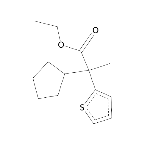 CCOC(=O)C(C)(c1cccs1)C1CCCC1